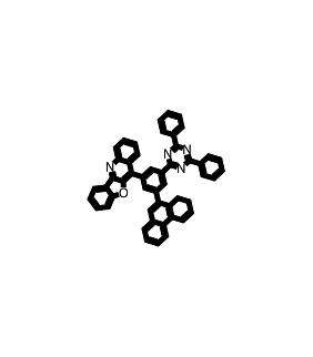 C1=Cc2c(c(-c3cc(-c4nc(-c5ccccc5)nc(-c5ccccc5)n4)cc(-c4c5ccccc5nc5c4oc4ccccc45)c3)cc3ccccc23)CC1